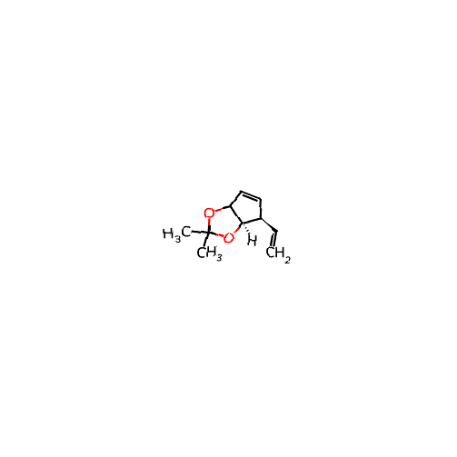 C=C[C@@H]1C=CC2OC(C)(C)O[C@@H]21